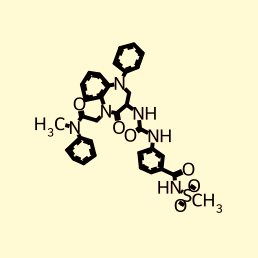 CN(C(=O)CN1C(=O)C(NC(=O)Nc2cccc(C(=O)NS(C)(=O)=O)c2)CN(c2ccccc2)c2ccccc21)c1ccccc1